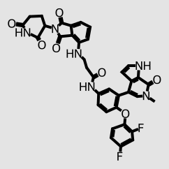 Cn1cc(-c2cc(NC(=O)CCNc3cccc4c3C(=O)N(C3CCC(=O)NC3=O)C4=O)ccc2Oc2ccc(F)cc2F)c2cc[nH]c2c1=O